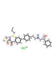 CCCSc1cc(-c2ccc(CCNC[C@H](O)c3ccccc3)cc2)ccc1C(=O)NS(C)(=O)=O.Cl